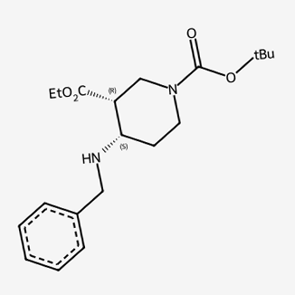 CCOC(=O)[C@@H]1CN(C(=O)OC(C)(C)C)CC[C@@H]1NCc1ccccc1